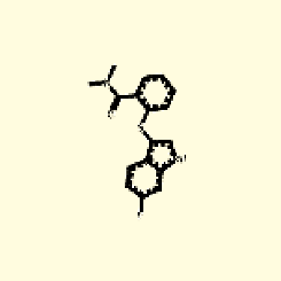 CN(C)C(=O)c1ccccc1Sc1c[nH]c2cc(F)ccc12